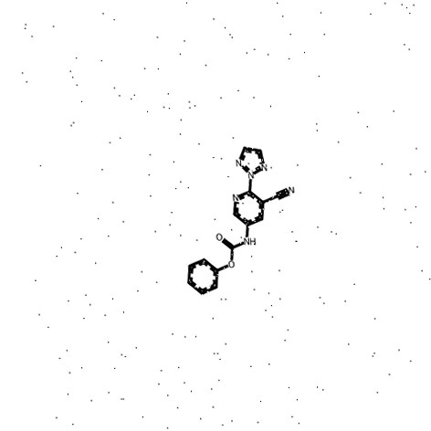 N#Cc1cc(NC(=O)Oc2ccccc2)cnc1-n1nccn1